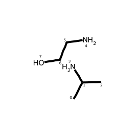 CC(C)N.NCCO